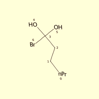 CCCCCC(O)(O)Br